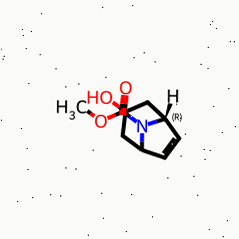 COC(=O)N1C2C=C[C@H]1CC(O)C2